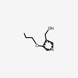 CCCOc1cscc1CO